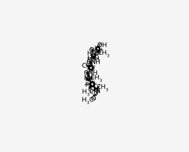 COCCn1nc(C)c(-c2ccc(-c3cnc(C(=O)Nc4ccc(C(=O)NC5[C@H]6CN(C(=O)[C@@H]7C[C@@H](O)C[N+]7(C)C)C[C@@H]56)c(Cl)c4)n3C)c(F)c2F)c1C